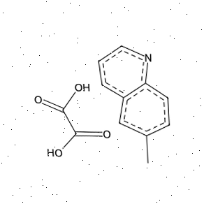 Cc1ccc2ncccc2c1.O=C(O)C(=O)O